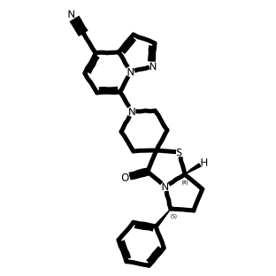 N#Cc1ccc(N2CCC3(CC2)S[C@@H]2CC[C@@H](c4ccccc4)N2C3=O)n2nccc12